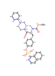 CN(C(=O)OC(C)(C)C)[C@@H](Cc1ccc(OS(=O)(=O)c2nccc3ccccc23)cc1)C(=O)N1CCN(c2ccccn2)CC1